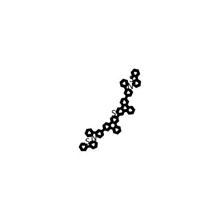 c1ccc2c(c1)sc1c(-n3c4ccccc4c4cc(-c5ccc6c(c5)c5ccccc5c5cc7c(cc65)sc5cc6c8ccc(-c9ccc%10c(c9)c9ccccc9n%10-c9cccc%10c9sc9ccccc9%10)cc8c8ccccc8c6cc57)ccc43)cccc12